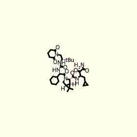 CC(C)(C)[C@@H](CN1C(=O)CCCC1=O)NC(=O)N[C@H](C(=O)N1C[C@H]2[C@@H]([C@H]1C(=O)NC(CC1CC1)C(=O)C(N)=O)C2(C)C)C1CCCCC1